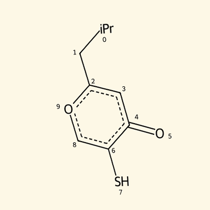 CC(C)Cc1cc(=O)c(S)co1